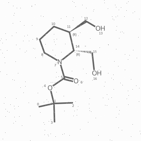 CC(C)(C)OC(=O)N1CCC[C@@H](CO)[C@@H]1CO